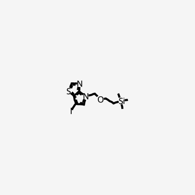 C[Si](C)(C)CCOCn1cc(I)c2scnc21